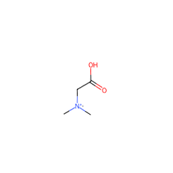 C[N+](C)CC(=O)O